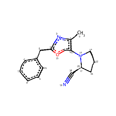 Cc1nc(Cc2ccccc2)oc1N1CCC[C@H]1C#N